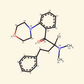 CCC(CCc1ccccc1)(C(=O)c1ccccc1N1CCOCC1)N(C)C